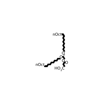 CCCCCCCC/C=C\CCCCCCCCOC[C@H](COC(=O)CCC(=O)O)OCCCCCCCC/C=C\CCCCCCCC